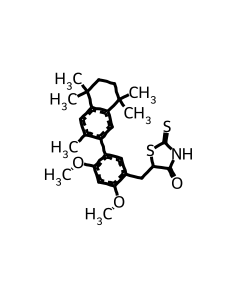 COc1cc(OC)c(-c2cc3c(cc2C)C(C)(C)CCC3(C)C)cc1CC1SC(=S)NC1=O